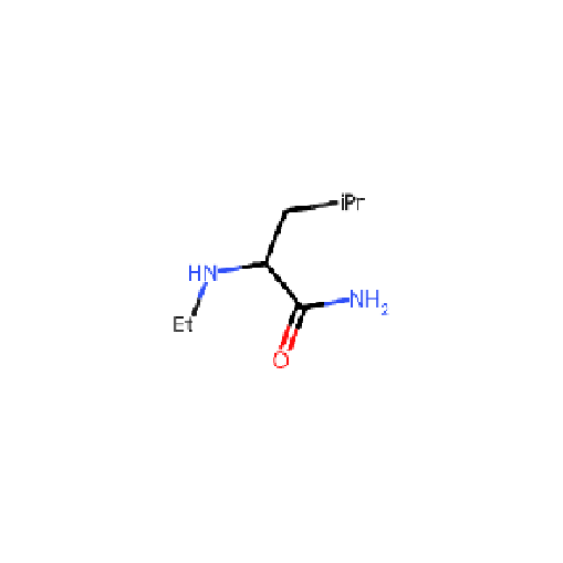 CCNC(CC(C)C)C(N)=O